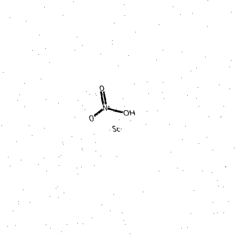 O=[N+]([O-])O.[Sc]